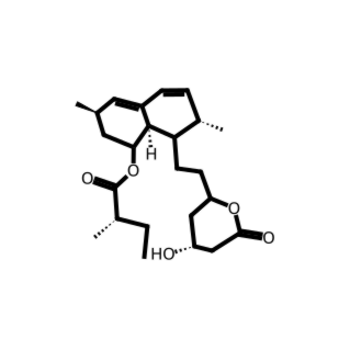 CC[C@H](C)C(=O)OC1C[C@@H](C)C=C2C=C[C@H](C)C(CCC3C[C@@H](O)CC(=O)O3)[C@H]21